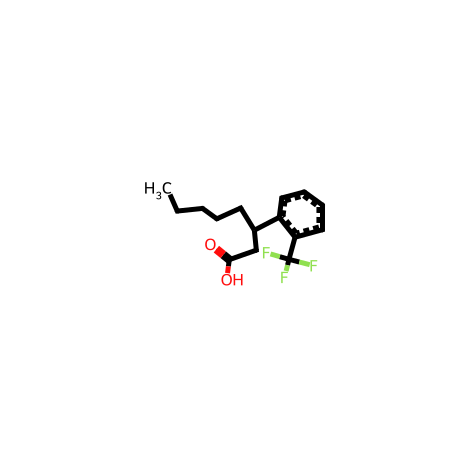 CCCCCC(CC(=O)O)c1ccccc1C(F)(F)F